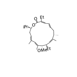 CC/C1=C\C=C\C[C@H](C)/C(C)=C\[C@@H](CC)[C@H](OC)/C(C)=C/C(C)=C/C[C@@H](C(C)C)OC1=O